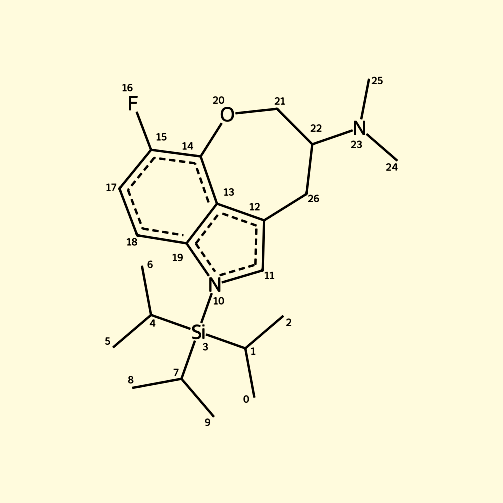 CC(C)[Si](C(C)C)(C(C)C)n1cc2c3c(c(F)ccc31)OCC(N(C)C)C2